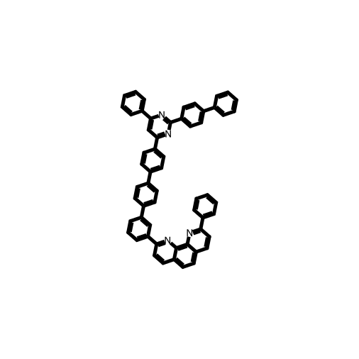 c1ccc(-c2ccc(-c3nc(-c4ccccc4)cc(-c4ccc(-c5ccc(-c6cccc(-c7ccc8ccc9ccc(-c%10ccccc%10)nc9c8n7)c6)cc5)cc4)n3)cc2)cc1